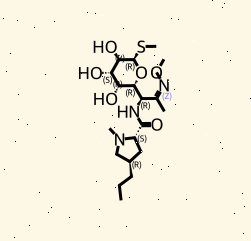 CCC[C@@H]1C[C@@H](C(=O)N[C@H](/C(C)=N\OC)[C@H]2O[C@H](SC)[C@H](O)[C@@H](O)[C@H]2O)N(C)C1